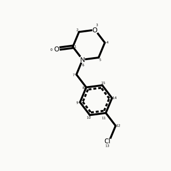 O=C1COCCN1Cc1ccc(CCl)cc1